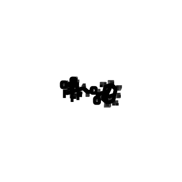 O=C(OCCC(F)(F)C(F)(F)[SH](=O)=O)C12CC3CC(CC(C3)C1)C2